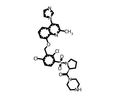 Cc1cc(-n2ccnc2)c2cccc(OCc3c(Cl)ccc(S(=O)(=O)N4CCC[C@H]4C(=O)N4CCNCC4)c3Cl)c2n1